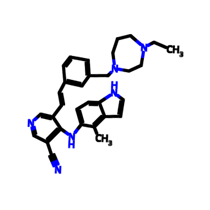 CCN1CCCN(Cc2cccc(C=Cc3cncc(C#N)c3Nc3ccc4[nH]ccc4c3C)c2)CC1